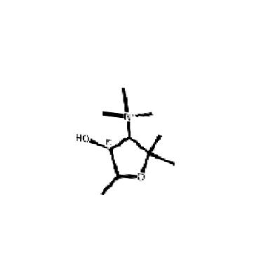 CC1OC(C)(C)C([N+](C)(C)C)[C@@H]1O